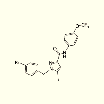 Cc1cc(C(=O)Nc2ccc(OC(F)(F)F)cc2)nn1Cc1ccc(Br)cc1